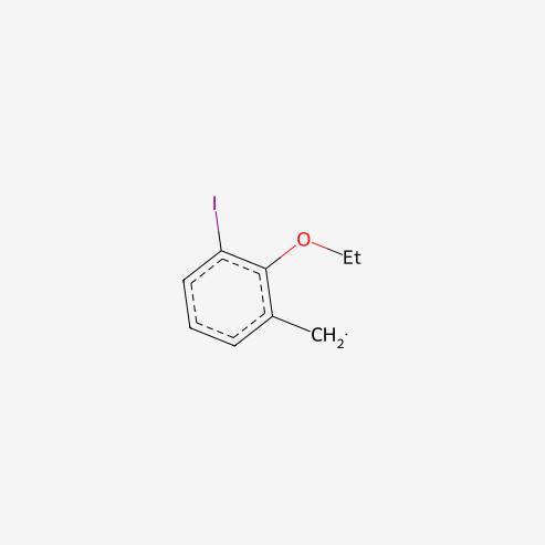 [CH2]c1cccc(I)c1OCC